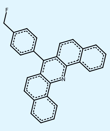 FCc1ccc(-c2c3ccc4ccccc4c3nc3c2ccc2ccccc23)cc1